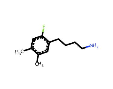 Cc1cc(F)c(CCCCN)cc1C